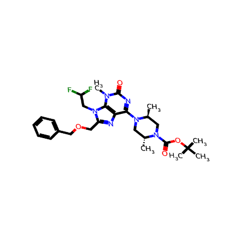 C[C@@H]1CN(c2nc(=O)n(C)c3c2nc(COCc2ccccc2)n3CC(F)F)[C@@H](C)CN1C(=O)OC(C)(C)C